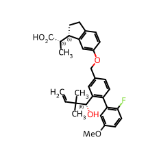 C=CC(C)(C)[C@@H](O)c1cc(COc2ccc3c(c2)[C@H]([C@H](C)C(=O)O)CC3)ccc1-c1cc(OC)ccc1F